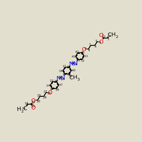 C=CC(=O)OCCCCOc1ccc(/N=N/c2ccc(/N=N/c3ccc(OCCCCOC(=O)C=C)cc3)c(C)c2)cc1